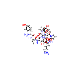 CC(C)[C@H](NC(=O)[C@@H](N)Cc1ccc(O)cc1)C(=O)N[C@@H](Cc1ccc(O)cc1)C(=O)N[C@@H](Cc1ccc(O)cc1)C(=O)N1CCC[C@H]1C(=O)N[C@@H](CO)C(=O)N1CCC[C@H]1C(=O)N[C@@H](CCCCN)C(=O)O